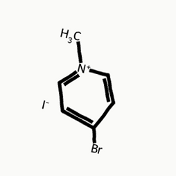 C[n+]1ccc(Br)cc1.[I-]